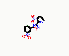 O=[N+]([O-])c1ccc(F)c(-c2nc(-c3ncccc3[N+](=O)[O-])no2)c1